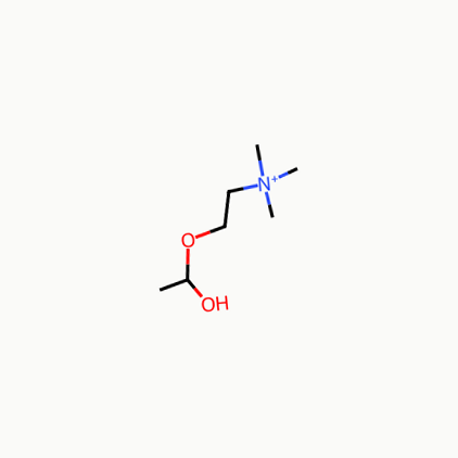 CC(O)OCC[N+](C)(C)C